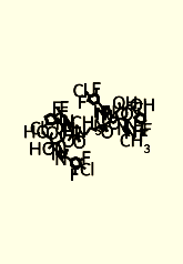 Cc1nc(C2OC(CO)C(O)C(n3cc(-c4cc(F)c(Cl)c(F)c4)nn3)C2OCC(=O)NCCCNC(=O)COC2C(c3nc(C)nn3-c3cc(Cl)ccc3C(F)(F)F)OC(CO)C(O)C2n2cc(-c3cc(F)c(Cl)c(F)c3)nn2)n(-c2cc(Cl)ccc2C(F)(F)F)n1